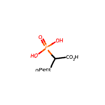 CCCCCC(C(=O)O)P(=O)(O)O